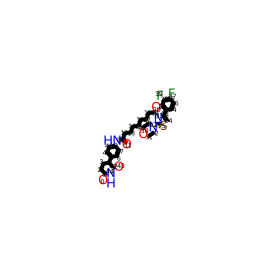 O=C1CCC(c2ccc(NC(=O)CCCCCCCCOc3c(-c4csc(N5CCOCC5)n4)ccc(F)c3F)cc2)C(=O)N1